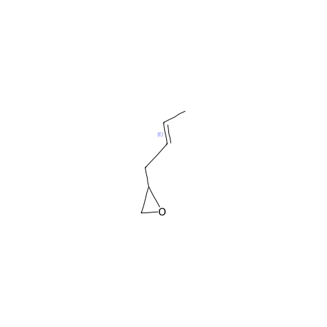 C/C=C/CC1CO1